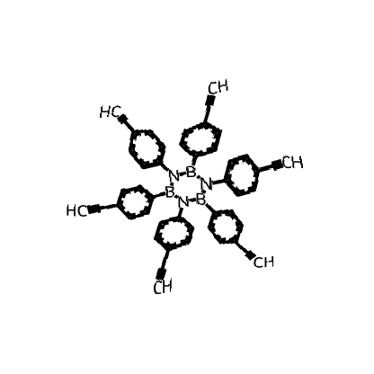 C#Cc1ccc(B2N(c3ccc(C#C)cc3)B(c3ccc(C#C)cc3)N(c3ccc(C#C)cc3)B(c3ccc(C#C)cc3)N2c2ccc(C#C)cc2)cc1